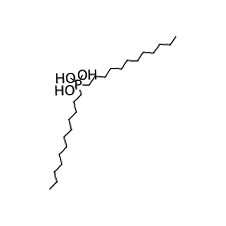 CCCCCCCCCCCCP(O)(O)(O)CCCCCCCCCCCC